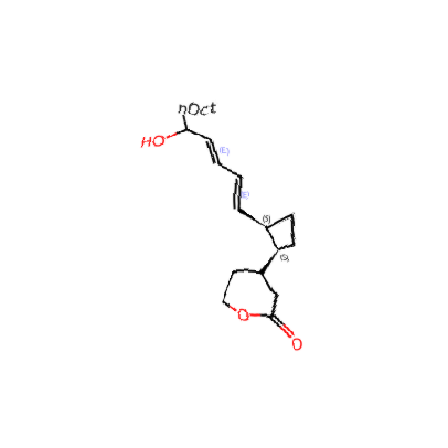 CCCCCCCCC(O)/C=C/C=C/[C@H]1CC[C@H]1C1CCOC(=O)C1